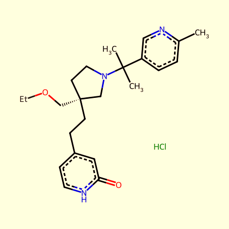 CCOC[C@]1(CCc2cc[nH]c(=O)c2)CCN(C(C)(C)c2ccc(C)nc2)C1.Cl